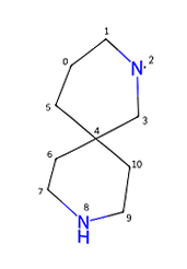 C1C[N]CC2(C1)CCNCC2